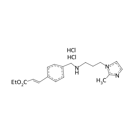 CCOC(=O)/C=C/c1ccc(CNCCCn2ccnc2C)cc1.Cl.Cl